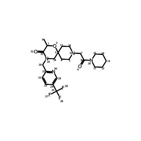 CC1OC2(CCN(CC(=O)N3CCCCC3)CC2)CN(Cc2ccc(C(F)(F)F)cn2)C1=O